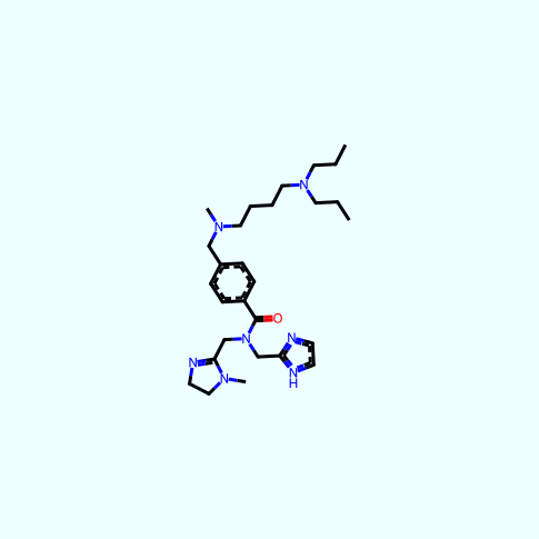 CCCN(CCC)CCCCN(C)Cc1ccc(C(=O)N(CC2=NCCN2C)Cc2ncc[nH]2)cc1